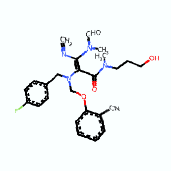 C=N/C(=C(/C(=O)N(C)CCCO)N(COc1ccccc1C#N)Cc1ccc(F)cc1)N(C)C=O